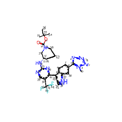 Cn1nnnc1-c1ccc2c(-c3nc(N[C@H]4CCCN(C(=O)OC(C)(C)C)C4)ncc3C(F)(F)F)c[nH]c2c1